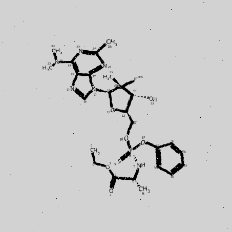 CCOC(=O)[C@@H](C)N[P@](=S)(OC[C@H]1O[C@@H](n2cnc3c(N(C)C)nc(C)nc32)[C@](C)(F)[C@@H]1O)Oc1ccccc1